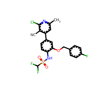 Cc1cc(-c2ccc(NS(=O)(=O)C(F)F)c(OCc3ccc(F)cc3)c2)c(C#N)c(Cl)n1